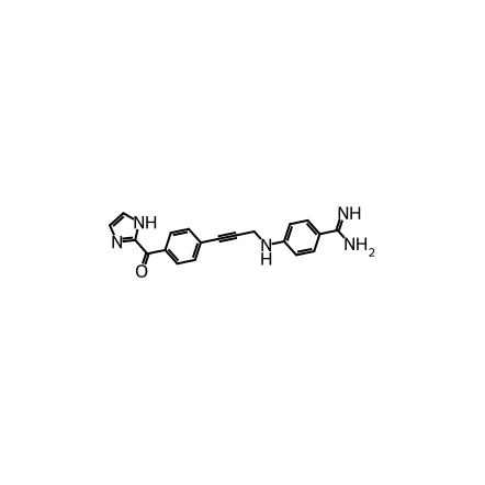 N=C(N)c1ccc(NCC#Cc2ccc(C(=O)c3ncc[nH]3)cc2)cc1